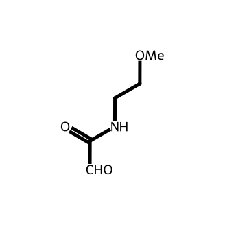 COCCNC(=O)C=O